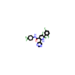 O=C(NC1CCC(F)(F)CC1)C1=C(c2cncnc2)NC(F)(c2cc(F)ccc2F)C(F)=C1